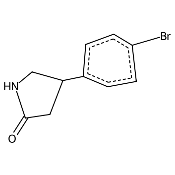 O=C1CC(c2ccc(Br)cc2)CN1